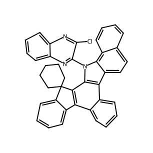 Clc1nc2ccccc2nc1-n1c2c3c(c4ccccc4c2c2ccc4ccccc4c21)-c1ccccc1C31CCCCC1